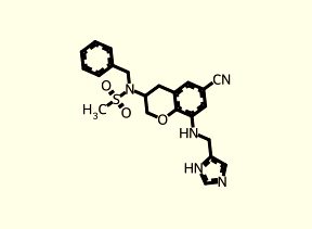 CS(=O)(=O)N(Cc1ccccc1)C1COc2c(cc(C#N)cc2NCc2cnc[nH]2)C1